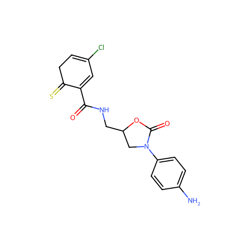 Nc1ccc(N2CC(CNC(=O)C3=CC(Cl)=CCC3=S)OC2=O)cc1